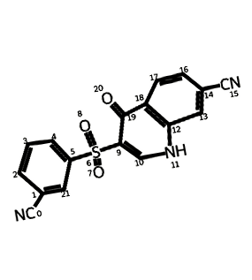 N#Cc1cccc(S(=O)(=O)c2c[nH]c3cc(C#N)ccc3c2=O)c1